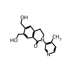 Cc1ccncc1N1CCc2cc(CO)c(CO)cc2C1=O